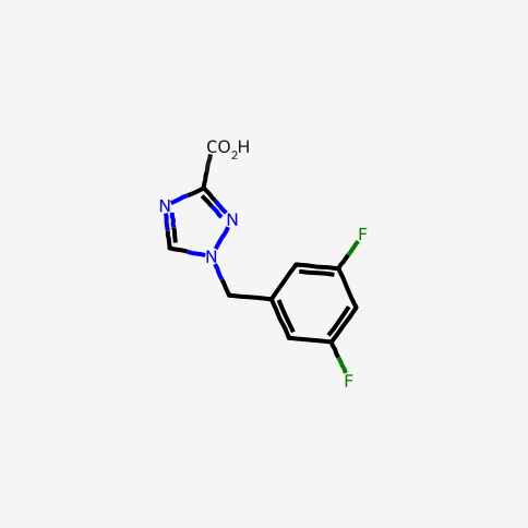 O=C(O)c1ncn(Cc2cc(F)cc(F)c2)n1